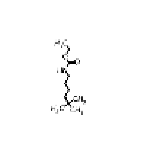 CCOC(=O)NCCCCC(C)(C)C